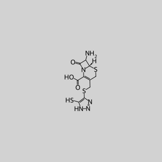 NC1C(=O)N2C(C(=O)O)=C(CSc3nn[nH]c3S)CS[C@@H]12